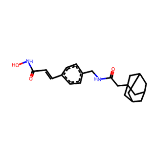 O=C(/C=C/c1ccc(CNC(=O)CC23CC4CC(CC(C4)C2)C3)cc1)NO